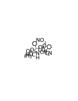 CC1=C(OC(=O)OC(C)C)C(c2cccc([N+](=O)[O-])c2)C(OC(=O)OC(C#N)c2ccccc2)=C(C)N1